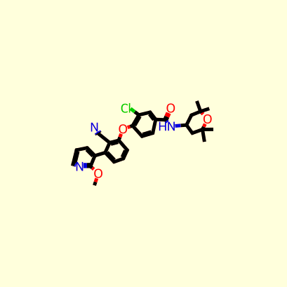 COc1ncccc1-c1cccc(Oc2ccc(C(=O)NC3CC(C)(C)OC(C)(C)C3)cc2Cl)c1C#N